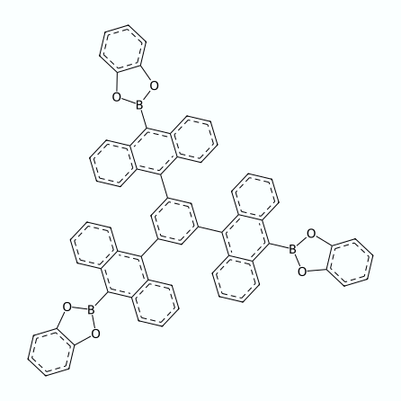 c1ccc2c(c1)OB(c1c3ccccc3c(-c3cc(-c4c5ccccc5c(B5Oc6ccccc6O5)c5ccccc45)cc(-c4c5ccccc5c(B5Oc6ccccc6O5)c5ccccc45)c3)c3ccccc13)O2